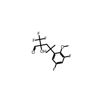 COc1c(F)cc(F)cc1C(C)(C)CC(O)(C=O)C(F)(F)F